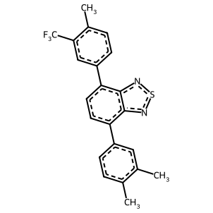 Cc1ccc(-c2ccc(-c3ccc(C)c(C(F)(F)F)c3)c3nsnc23)cc1C